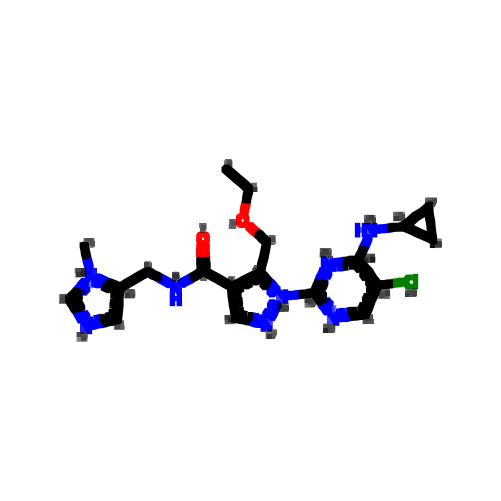 CCOCc1c(C(=O)NCc2cncn2C)cnn1-c1ncc(Cl)c(NC2CC2)n1